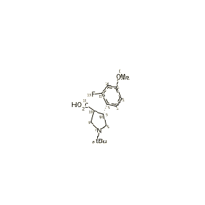 COc1ccc([C@@H]2CN(C(C)(C)C)CC2C(=O)O)c(F)c1